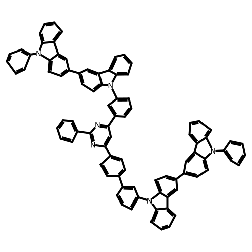 c1ccc(-c2nc(-c3ccc(-c4cccc(-n5c6ccccc6c6cc(-c7ccc8c(c7)c7ccccc7n8-c7ccccc7)ccc65)c4)cc3)cc(-c3cccc(-n4c5ccccc5c5cc(-c6ccc7c(c6)c6ccccc6n7-c6ccccc6)ccc54)c3)n2)cc1